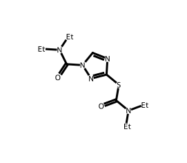 CCN(CC)C(=O)Sc1ncn(C(=O)N(CC)CC)n1